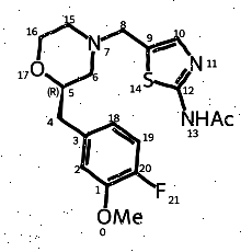 COc1cc(C[C@@H]2CN(Cc3cnc(NC(C)=O)s3)CCO2)ccc1F